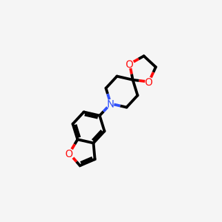 c1cc2cc(N3CCC4(CC3)OCCO4)ccc2o1